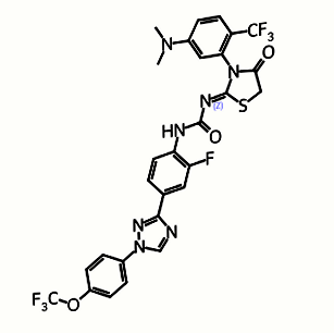 CN(C)c1ccc(C(F)(F)F)c(N2C(=O)CS/C2=N\C(=O)Nc2ccc(-c3ncn(-c4ccc(OC(F)(F)F)cc4)n3)cc2F)c1